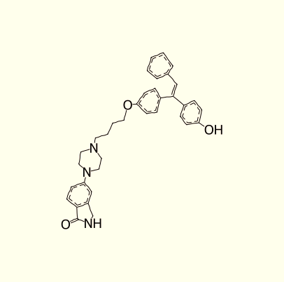 O=C1NCc2cc(N3CCN(CCCCOc4ccc(/C(=C\c5ccccc5)c5ccc(O)cc5)cc4)CC3)ccc21